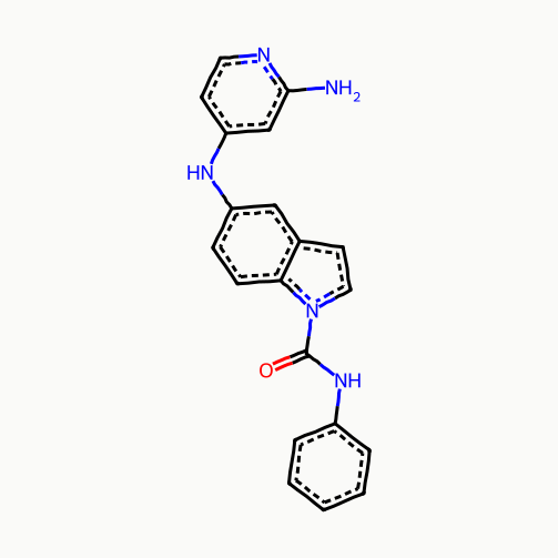 Nc1cc(Nc2ccc3c(ccn3C(=O)Nc3ccccc3)c2)ccn1